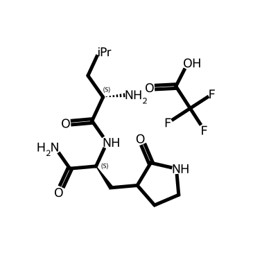 CC(C)C[C@H](N)C(=O)N[C@@H](CC1CCNC1=O)C(N)=O.O=C(O)C(F)(F)F